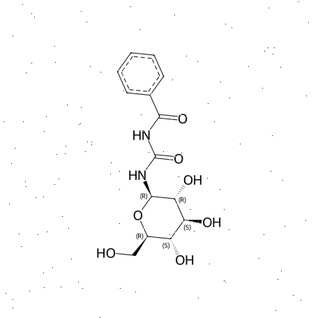 O=C(NC(=O)c1ccccc1)N[C@@H]1O[C@H](CO)[C@@H](O)[C@H](O)[C@H]1O